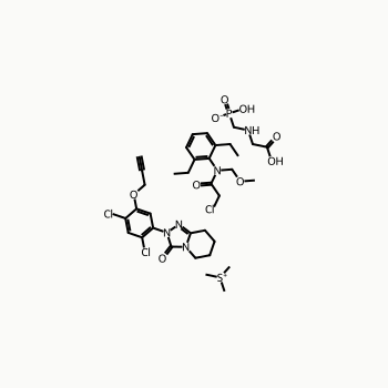 C#CCOc1cc(-n2nc3n(c2=O)CCCC3)c(Cl)cc1Cl.CCc1cccc(CC)c1N(COC)C(=O)CCl.C[S+](C)C.O=C(O)CNCP(=O)([O-])O